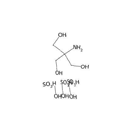 NC(CO)(CO)CO.O=S(=O)(O)O.O=S(=O)(O)O.O=S(=O)(O)O